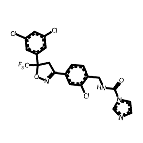 O=C(NCc1ccc(C2=NOC(c3cc(Cl)cc(Cl)c3)(C(F)(F)F)C2)cc1Cl)n1ccnc1